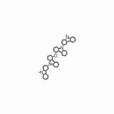 Cn1c2ccccc2c2cc(-n3c4ccccc4c4c(Oc5cccc6c5c5ccccc5n6-c5ccc6c(c5)c5ccccc5n6C)cccc43)ccc21